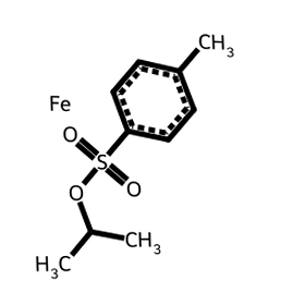 Cc1ccc(S(=O)(=O)OC(C)C)cc1.[Fe]